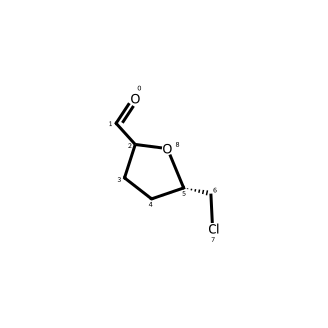 O=CC1CC[C@@H](CCl)O1